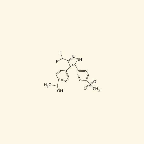 CC(O)c1ccc(-c2c(C(F)F)n[nH]c2-c2ccc(S(C)(=O)=O)cc2)cc1